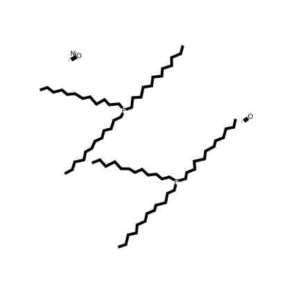 CCCCCCCCCCCCP(CCCCCCCCCCCC)CCCCCCCCCCCC.CCCCCCCCCCCCP(CCCCCCCCCCCC)CCCCCCCCCCCC.[C]=O.[C]=O.[Ni]